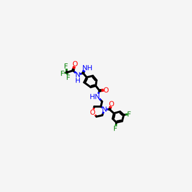 N=C(NC(=O)C(F)(F)F)c1ccc(C(=O)NCC2COCCN2C(=O)c2cc(F)cc(F)c2)cc1